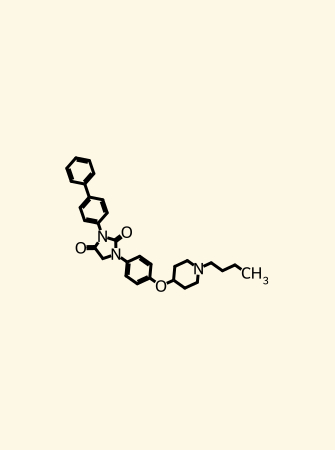 CCCCN1CCC(Oc2ccc(N3CC(=O)N(c4ccc(-c5ccccc5)cc4)C3=O)cc2)CC1